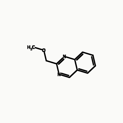 COCc1ncc2ccccc2n1